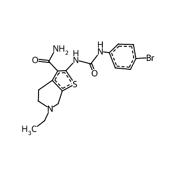 CCN1CCc2c(sc(NC(=O)Nc3ccc(Br)cc3)c2C(N)=O)C1